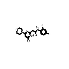 O=C(Cc1nc(N2CCOCC2)cc(=O)[nH]1)Nc1ccc(F)cc1F